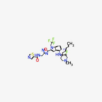 C=C/C=C/C[C@]1(Nc2cccc3c2cc(-c2nc(CNC(=O)c4cncs4)no2)n3CC(F)(F)F)CCN(C)C[C@@H]1F